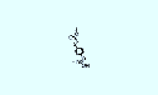 CCOC(=O)CSc1ccc(OB(O)O)cc1